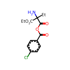 CCOC(=O)C(N)(CC)C(=O)OC(=O)c1ccc(Cl)cc1